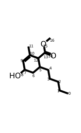 CCCCCC1CC(O)C=C(C)C1C(=O)OC